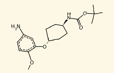 COc1ccc(N)cc1O[C@H]1CC[C@H](NC(=O)OC(C)(C)C)CC1